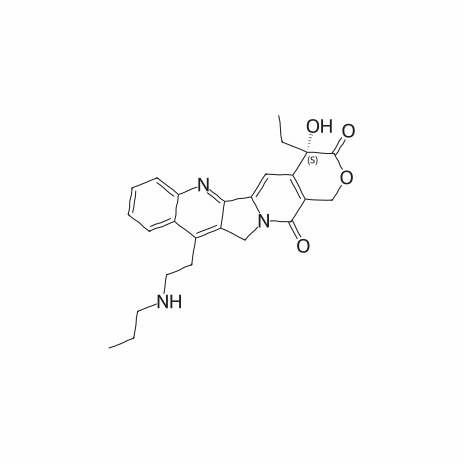 CCCNCCc1c2c(nc3ccccc13)-c1cc3c(c(=O)n1C2)COC(=O)[C@]3(O)CC